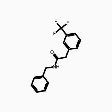 O=C(Cc1cccc(C(F)(F)F)c1)NCc1ccccc1